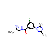 Cc1nc(C)n(-c2cc(F)cc(C(=O)NC[C@@H](N)C(=O)O)c2)n1